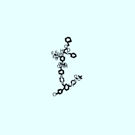 CC(C)(C)OC(=O)N1CCN(C[C@]2(C)CCC(c3ccc(Cl)cc3)=C(CN3CCN(c4ccc(C(=O)NS(=O)(=O)c5ccc(NC(CSc6ccccc6)CC(=O)OCc6ccccc6)c(S(=O)(=O)C(F)(F)F)c5)cc4)CC3)C2)CC1